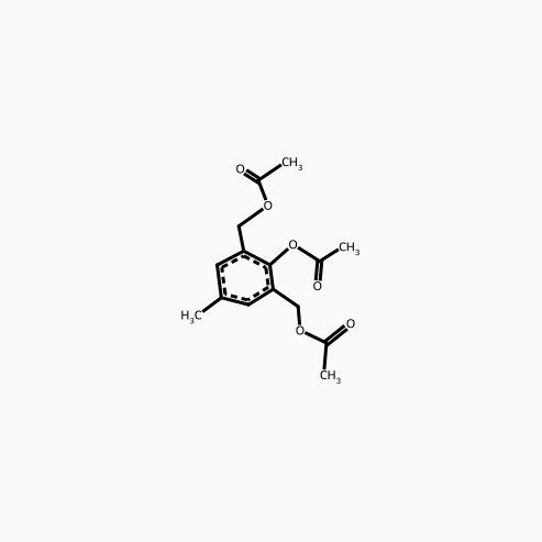 CC(=O)OCc1cc(C)cc(COC(C)=O)c1OC(C)=O